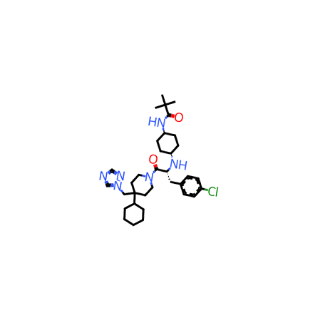 CC(C)(C)C(=O)N[C@H]1CC[C@H](N[C@H](Cc2ccc(Cl)cc2)C(=O)N2CCC(Cn3cncn3)(C3CCCCC3)CC2)CC1